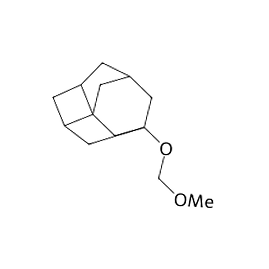 COCOC12CC3CC4CC(C1)C4(C3)C2